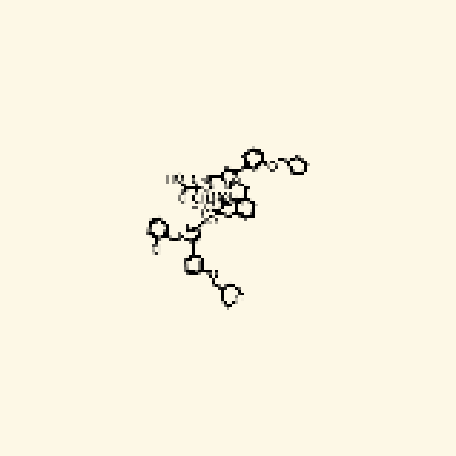 CC(C)(OCc1cc(-c2cccc(OCC3CCCC3)c2)n(Cc2cccc(CC(C)(OCc3cc(-c4cccc(OCC5CCOCC5)c4)n(Cc4ccccc4Cl)n3)C(=O)O)c2Cl)n1)C(=O)O